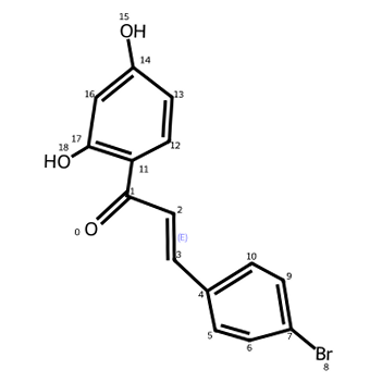 O=C(/C=C/c1ccc(Br)cc1)c1ccc(O)cc1O